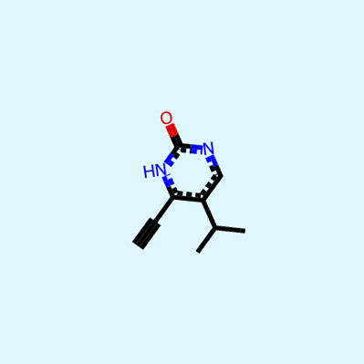 C#Cc1[nH]c(=O)ncc1C(C)C